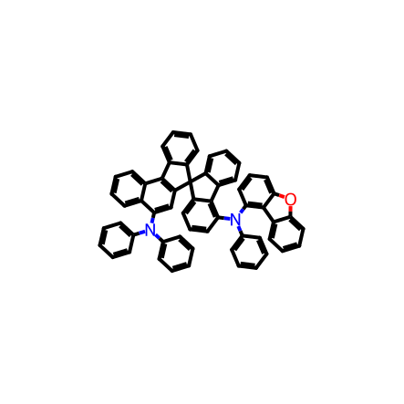 c1ccc(N(c2ccccc2)c2cc3c(c4ccccc24)-c2ccccc2C32c3ccccc3-c3c(N(c4ccccc4)c4cccc5oc6ccccc6c45)cccc32)cc1